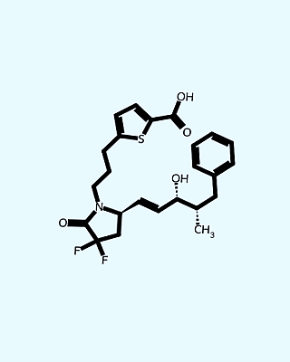 C[C@@H](Cc1ccccc1)[C@@H](O)C=C[C@H]1CC(F)(F)C(=O)N1CCCc1ccc(C(=O)O)s1